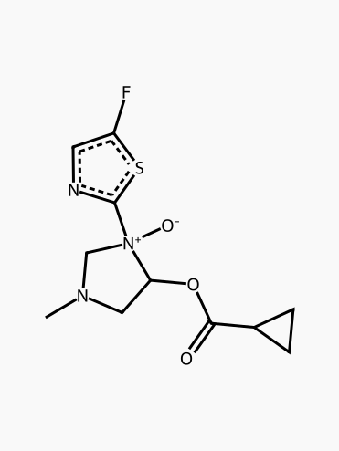 CN1CC(OC(=O)C2CC2)[N+]([O-])(c2ncc(F)s2)C1